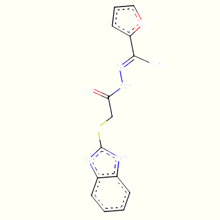 C/C(=N\NC(=O)CSc1nc2ccccc2[nH]1)c1ccco1